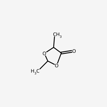 CC1OC(=O)C(C)O1